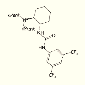 CCCCCN(CCCCC)[C@H]1CCCC[C@@H]1NC(=O)Nc1cc(C(F)(F)F)cc(C(F)(F)F)c1